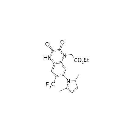 CCOC(=O)Cn1c(=O)c(=O)[nH]c2cc(C(F)(F)F)c(-n3c(C)ccc3C)cc21